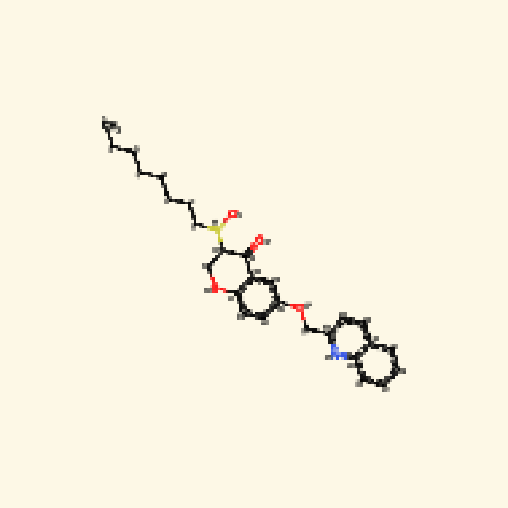 CCCCCCCC[S+]([O-])C1COc2ccc(OCc3ccc4ccccc4n3)cc2C1=O